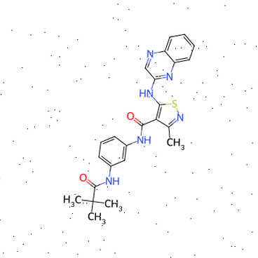 Cc1nsc(Nc2cnc3ccccc3n2)c1C(=O)Nc1cccc(NC(=O)C(C)(C)C)c1